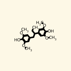 CCC(Cc1cc(OC)c(O)c(OC)c1)c1cc(OC)c(O)c(OC)c1